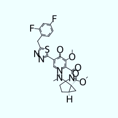 COC(=O)[C@]12C[C@H]1CCC21N(C)C(=O)c2c(OC)c(=O)c(-c3nnc(Cc4ccc(F)cc4F)s3)cn2N1C